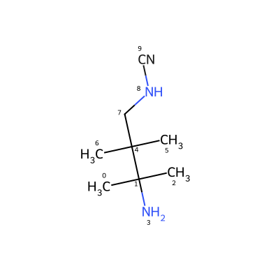 CC(C)(N)C(C)(C)CNC#N